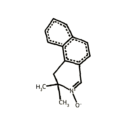 CC1(C)Cc2c(ccc3ccccc23)C=[N+]1[O-]